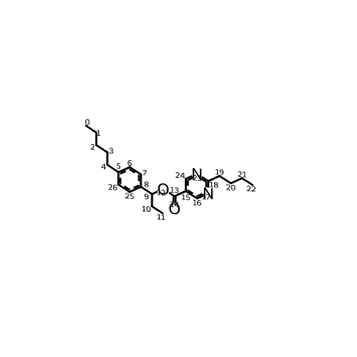 CCCCCc1ccc(C(CC)OC(=O)c2cnc(CCCC)nc2)cc1